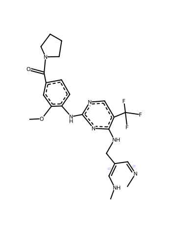 C/N=C\C(=C/NC)CNc1nc(Nc2ccc(C(=O)N3CCCC3)cc2OC)ncc1C(F)(F)F